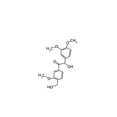 COc1cc(C(=O)C(O)c2ccc(OC)c(OC)c2)ccc1CO